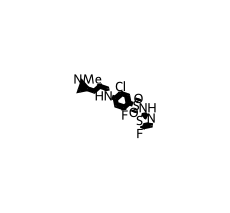 CNC(CNc1cc(F)c(S(=O)(=O)Nc2ncc(F)s2)cc1Cl)CC1CC1